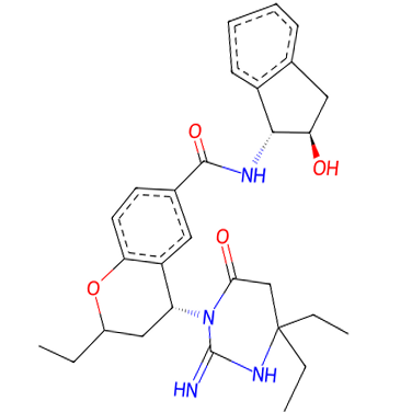 CCC1C[C@@H](N2C(=N)NC(CC)(CC)CC2=O)c2cc(C(=O)N[C@@H]3c4ccccc4C[C@H]3O)ccc2O1